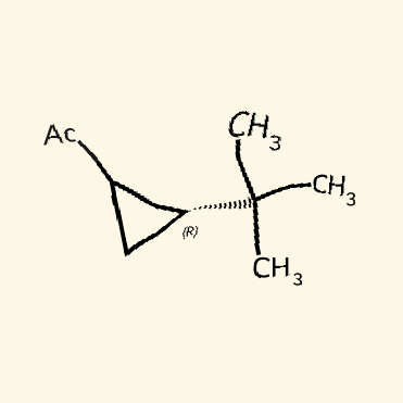 CC(=O)C1C[C@H]1C(C)(C)C